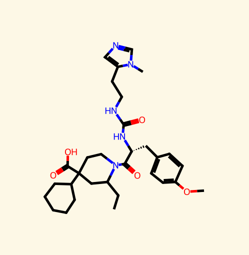 CCC1CC(C(=O)O)(C2CCCCC2)CCN1C(=O)[C@@H](Cc1ccc(OC)cc1)NC(=O)NCCc1cncn1C